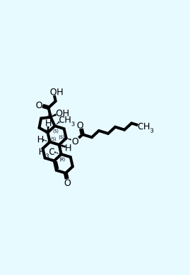 CCCCCCCC(=O)O[C@H]1C[C@@]2(C)[C@@H](CC[C@]2(O)C(=O)CO)[C@@H]2CCC3=CC(=O)CC[C@]3(C)[C@H]21